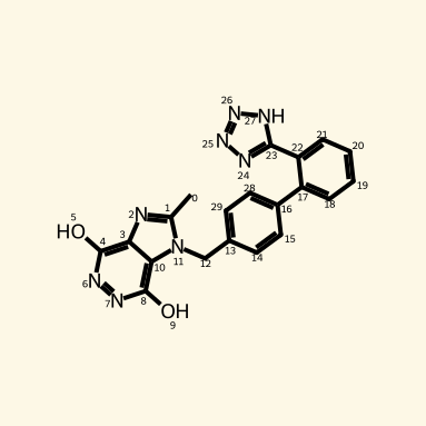 Cc1nc2c(O)nnc(O)c2n1Cc1ccc(-c2ccccc2-c2nnn[nH]2)cc1